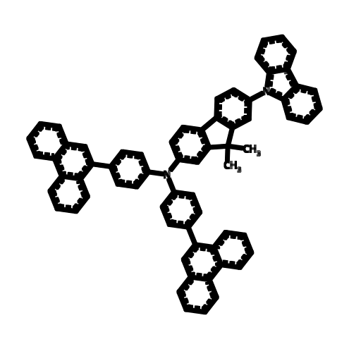 CC1(C)c2cc(N(c3ccc(-c4cc5ccccc5c5ccccc45)cc3)c3ccc(-c4cc5ccccc5c5ccccc45)cc3)ccc2-c2ccc(-n3c4ccccc4c4ccccc43)cc21